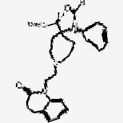 CCC(=O)N(c1ccccc1)C1(C(=O)OC)CCN(CCN2C(=O)Cc3ccccc32)CC1